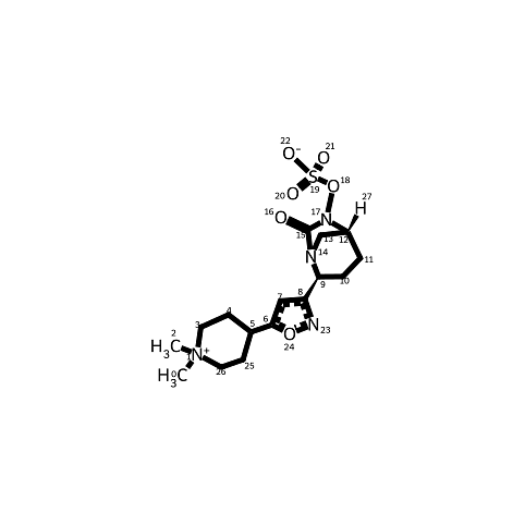 C[N+]1(C)CCC(c2cc([C@@H]3CC[C@@H]4CN3C(=O)N4OS(=O)(=O)[O-])no2)CC1